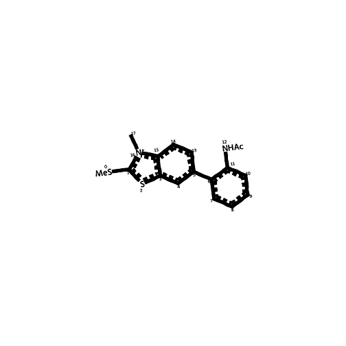 CSc1sc2cc(-c3ccccc3NC(C)=O)ccc2[n+]1C